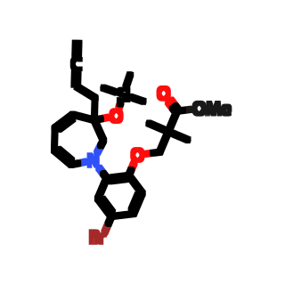 C=C=CCC1(O[Si](C)(C)C)C=CC=CN(c2cc(Br)ccc2OCC(C)(C)C(=O)OC)C1